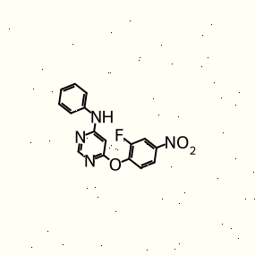 O=[N+]([O-])c1ccc(Oc2cc(Nc3ccccc3)ncn2)c(F)c1